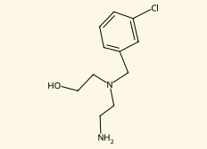 NCCN(CCO)Cc1cccc(Cl)c1